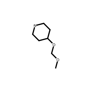 COCOC1CC[N]CC1